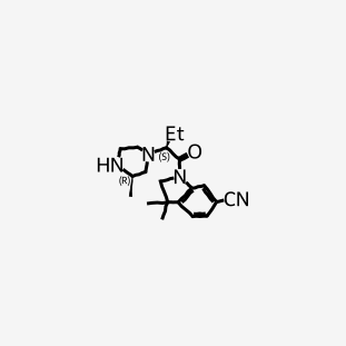 CC[C@@H](C(=O)N1CC(C)(C)c2ccc(C#N)cc21)N1CCN[C@H](C)C1